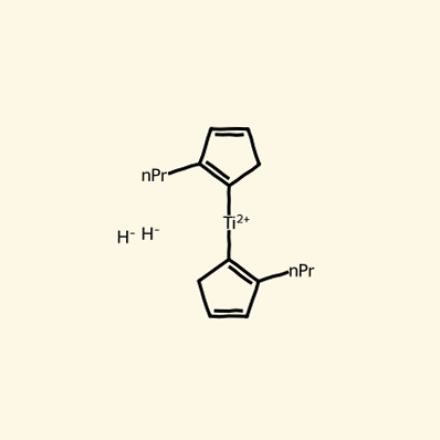 CCCC1=[C]([Ti+2][C]2=C(CCC)C=CC2)CC=C1.[H-].[H-]